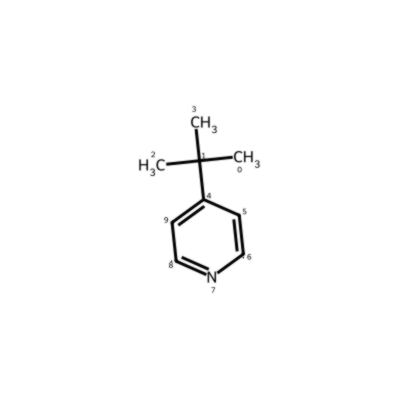 CC(C)(C)c1c[c]n[c]c1